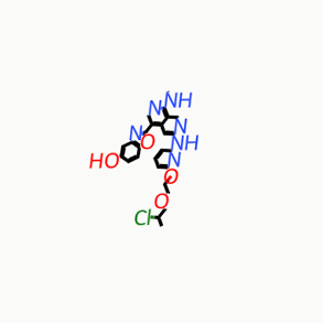 CNc1ncc(-c2nc3cc(O)ccc3o2)c2cc(Nc3cccc(OCCOCC(C)Cl)n3)ncc12